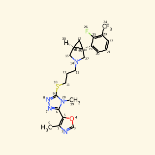 Cc1ncoc1-c1nnc(SCCCN2C[C@H]3C[C@@]3(c3cccc(C(F)(F)F)c3F)C2)n1C